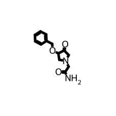 NC(=O)CN1CC(=O)C(OCc2ccccc2)C1